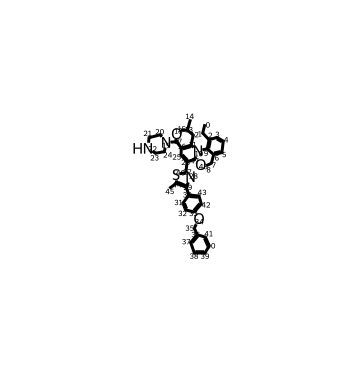 CCc1cccc(CC)c1-n1c(CC(C)C)c(C(=O)N2CCNCC2)cc(-c2nc(-c3ccc(OCc4ccccc4)cc3)c(C)s2)c1=O